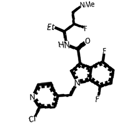 CCC(NC(=O)c1cn(Cc2ccnc(Cl)c2)c2c(F)ccc(F)c12)C(F)CNC